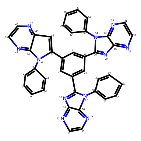 c1ccc(-n2c(-c3cc(-c4nc5nccnc5n4-c4ccccc4)cc(-c4nc5nccnc5n4-c4ccccc4)c3)cc3nccnc32)cc1